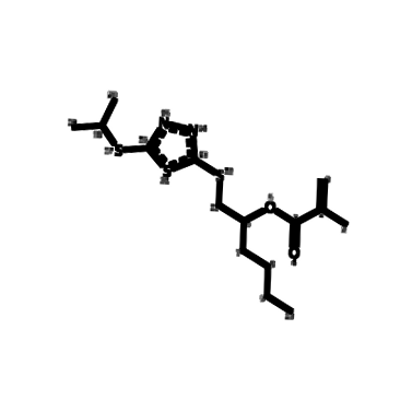 C=C(C)C(=O)OC(CCCC)CSc1nnc(SC(C)C)s1